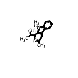 Cc1cc2c3ccccc3n(C)c2c(C(C)C)n1